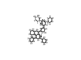 C1=CC(c2nc(-c3ccccc3)cc(-c3cccc(-c4cc5ccccc5c5c(-c6ccccc6)cc(-c6ccccc6)nc45)c3)n2)=CCC1